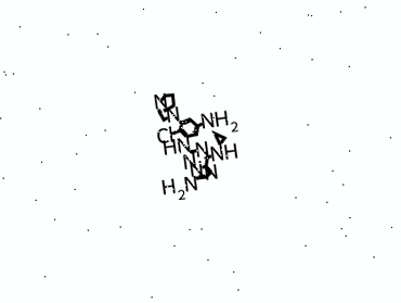 Nc1cc(Nc2nc(NC3CC3)c3ncc(N)n3n2)c(Cl)c(N2CCN3CCC2C3)c1